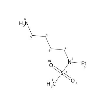 CCN(CCCCN)S(C)(=O)=O